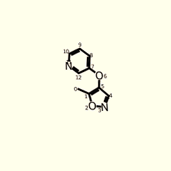 Cc1on[c]c1Oc1cccnc1